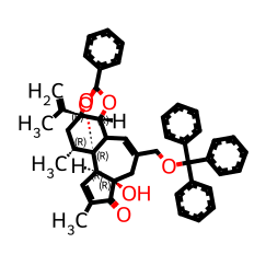 C=C(C)[C@]12C[C@@H](C)[C@@]34OC(c5ccccc5)(O[C@@H]1C3C=C(COC(c1ccccc1)(c1ccccc1)c1ccccc1)C[C@]1(O)C(=O)C(C)=C[C@@H]41)O2